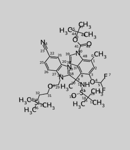 Cc1cc(OC(F)F)c(C(C)(N[S+]([O-])C(C)(C)C)c2nc3cc(C#N)ccc3n2COCC[Si](C)(C)C)c2ccn(C(=O)OC(C)(C)C)c12